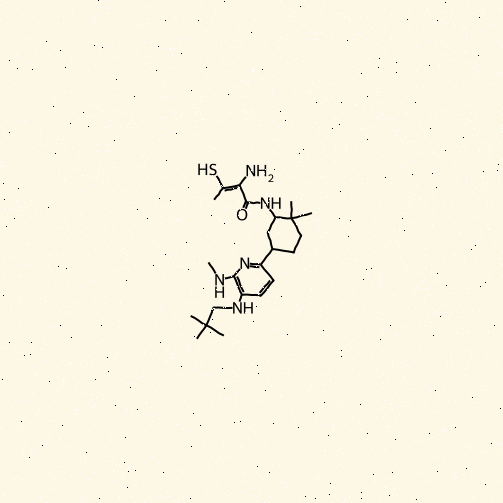 CNc1nc(C2CCC(C)(C)C(NC(=O)/C(N)=C(\C)S)C2)ccc1NCC(C)(C)C